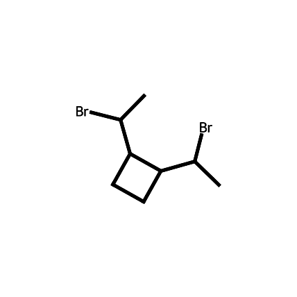 CC(Br)C1CCC1C(C)Br